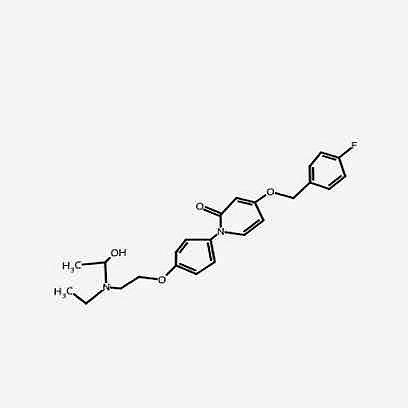 CCN(CCOc1ccc(-n2ccc(OCc3ccc(F)cc3)cc2=O)cc1)C(C)O